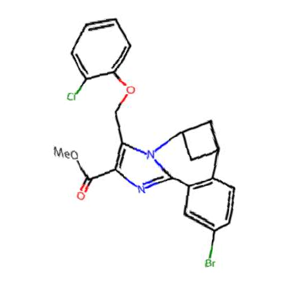 COC(=O)c1nc2n(c1COc1ccccc1Cl)C1CC(C1)c1ccc(Br)cc1-2